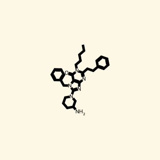 CCCCCn1c(CCc2ccccc2)nc2nc(N3CCCC(N)C3)n(Cc3ccccc3)c2c1=O